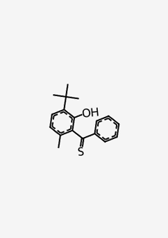 Cc1ccc(C(C)(C)C)c(O)c1C(=S)c1ccccc1